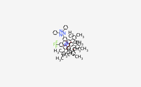 Cc1cc(C)c(-c2ccc3c(c2)c2cc(-c4c(C)cc(C)cc4C)ccc2n3-c2ccc(-c3nc(-c4ccccc4)nc(-c4ccccc4)n3)cc2-c2cc(C(F)(F)F)ccc2-n2c3ccc(-c4c(C)cc(C)cc4C)cc3c3cc(-c4c(C)cc(C)cc4C)ccc32)c(C)c1